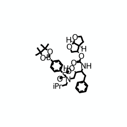 CC(C)CN(C[C@@H](O)C(Cc1ccccc1)NC(=O)O[C@H]1CO[C@H]2OCC[C@H]21)S(=O)(=O)c1ccc(B2OC(C)(C)C(C)(C)O2)cc1